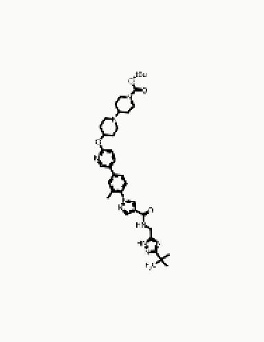 Cc1cc(-c2ccc(OC3CCN(C4CCN(C(=O)OC(C)(C)C)CC4)CC3)nc2)ccc1-n1cc(C(=O)NCc2nc(C(C)(C)C(F)(F)F)n[nH]2)cn1